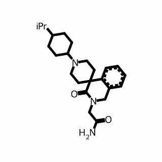 CC(C)C1CCC(N2CCC3(CC2)C(=O)N(CC(N)=O)Cc2ccccc23)CC1